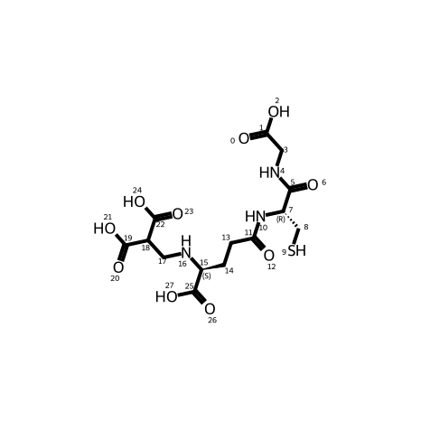 O=C(O)CNC(=O)[C@H](CS)NC(=O)CC[C@H](NCC(C(=O)O)C(=O)O)C(=O)O